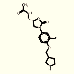 CC(=O)NC[C@H]1CN(c2ccc(OCC3CCNC3)c(F)c2)C(=O)O1